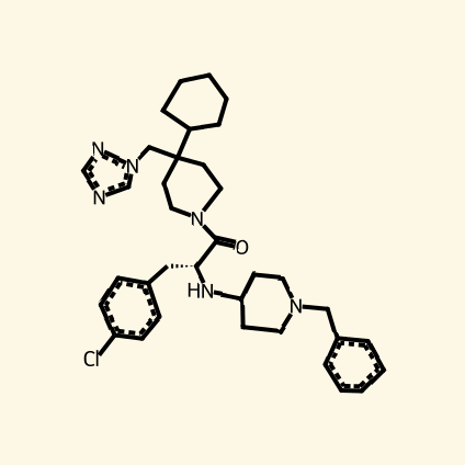 O=C([C@@H](Cc1ccc(Cl)cc1)NC1CCN(Cc2ccccc2)CC1)N1CCC(Cn2cncn2)(C2CCCCC2)CC1